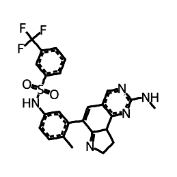 CNc1ncc2c(n1)C1CCN=C1C(c1cc(NS(=O)(=O)c3cccc(C(F)(F)F)c3)ccc1C)=C2